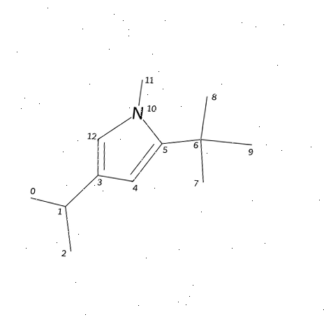 CC(C)c1cc(C(C)(C)C)n(C)c1